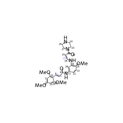 COc1cc(OC)c(/C=C/C(=O)Nc2ccc(OC)c(N/C=C\C(=O)N3CCNCC3)c2)c(OC)c1